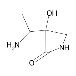 CC(N)C1(O)CNC1=O